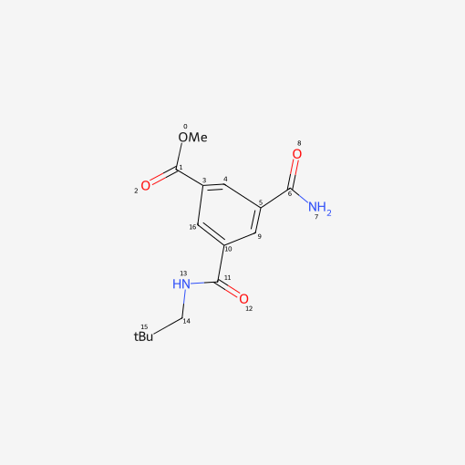 COC(=O)c1cc(C(N)=O)cc(C(=O)NCC(C)(C)C)c1